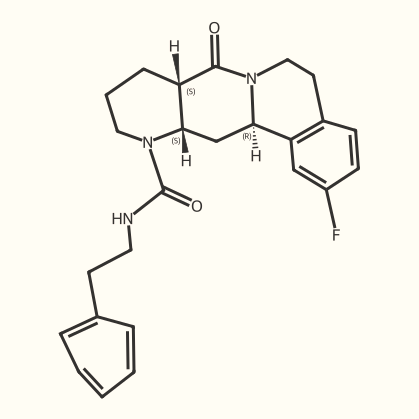 O=C1[C@H]2CCCN(C(=O)NCCc3ccccc3)[C@H]2C[C@@H]2c3cc(F)ccc3CCN12